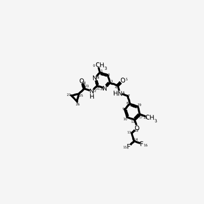 Cc1cc(C(=O)NCc2ccc(OCC(F)F)c(C)c2)nc(NC(=O)C2CC2)n1